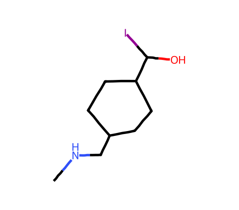 CNCC1CCC(C(O)I)CC1